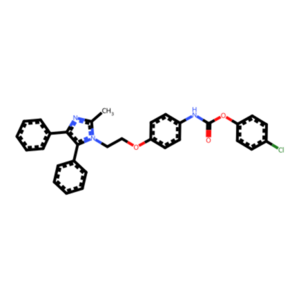 Cc1nc(-c2ccccc2)c(-c2ccccc2)n1CCOc1ccc(NC(=O)Oc2ccc(Cl)cc2)cc1